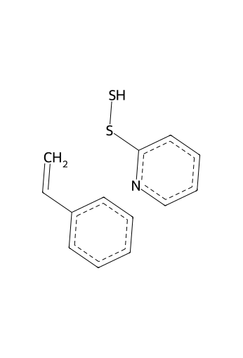 C=Cc1ccccc1.SSc1ccccn1